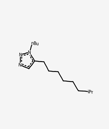 CCCCn1nncc1CCCCCCC(C)C